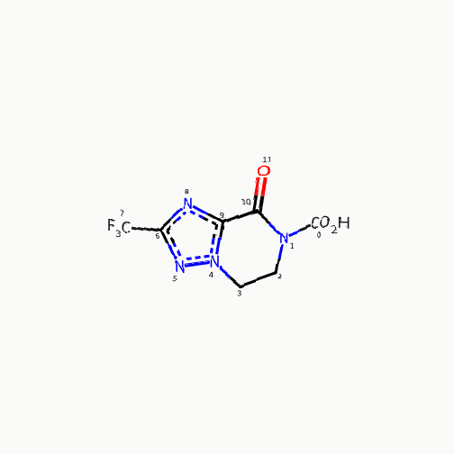 O=C(O)N1CCn2nc(C(F)(F)F)nc2C1=O